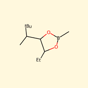 CCC1OB(C)OC1C(C)C(C)(C)C